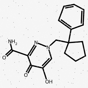 NC(=O)c1nn(CC2(c3ccccc3)CCCC2)cc(O)c1=O